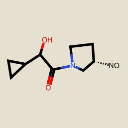 O=N[C@H]1CCN(C(=O)C(O)C2CC2)C1